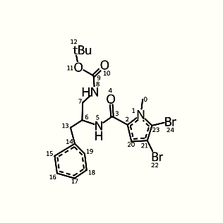 Cn1c(C(=O)NC(CNC(=O)OC(C)(C)C)Cc2ccccc2)cc(Br)c1Br